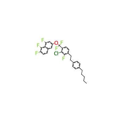 CCCCCc1ccc(CCc2ccc(C(F)(F)Oc3cc(F)c4c(F)c(F)ccc4c3)c(Cl)c2F)cc1